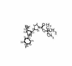 CC(C)(C)OC(=O)N1CCC(c2nn(-c3ccc(F)cc3)cc2Br)C1